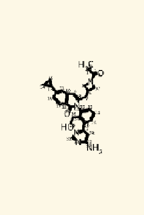 C=CC(=O)N1CC(Cc2cc3cc(C4CC4)ccc3c(=O)n2-c2cccc(-c3cc(N)ncn3)c2CO)C1